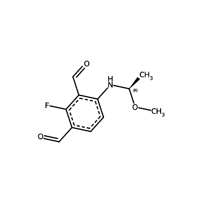 CO[C@H](C)Nc1ccc(C=O)c(F)c1C=O